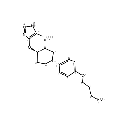 CNCCCOc1ccc([C@H]2CC[C@H](Oc3nn[nH]c3C(=O)O)CC2)cc1